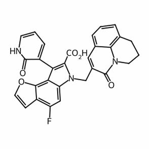 O=C(O)c1c(-c2ccc[nH]c2=O)c2c3occc3c(F)cc2n1Cc1cc2cccc3c2n(c1=O)CCC3